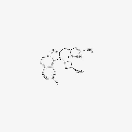 CO[C@H]1C[C@H](n2c(CN3C=C(C)NN3)nc3cnc4ccc(Cl)cc4c32)C1